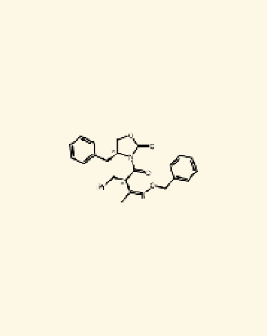 CC(=NOCc1ccccc1)[C@@H](CC(C)C)C(=O)N1C(=O)OC[C@@H]1Cc1ccccc1